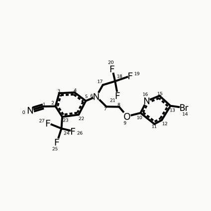 N#Cc1ccc(N(CCOc2ccc(Br)cn2)CC(F)(F)F)cc1C(F)(F)F